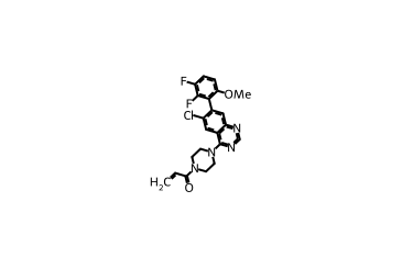 C=CC(=O)N1CCN(c2ncnc3cc(-c4c(OC)ccc(F)c4F)c(Cl)cc23)CC1